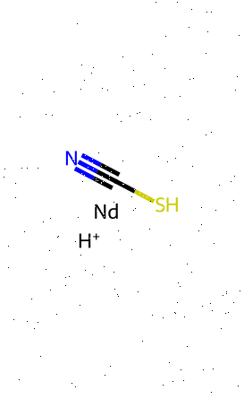 N#CS.[H+].[Nd]